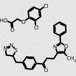 Cc1oc(-c2ccccc2)nc1CCC(=O)c1ccc(CC2CN=NS2)cc1.O=C(O)COc1ccc(Cl)cc1Cl